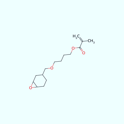 C=C(C)C(=O)OCCCCOCC1CCC2OC2C1